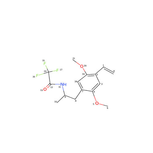 C=Cc1cc(OC)c(CC(C)NC(=O)C(F)(F)F)cc1OC